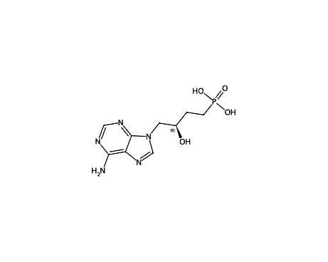 Nc1ncnc2c1ncn2C[C@H](O)CCP(=O)(O)O